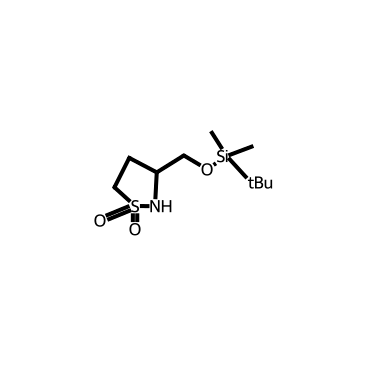 CC(C)(C)[Si](C)(C)OCC1CCS(=O)(=O)N1